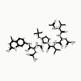 CC(=O)N[C@H](C(=O)N[C@@H](CC(=O)O)C(=O)N[C@H](C(=O)N1CC[C@H](CC(C)(C)C)[C@H]1C(=O)N[C@@H](CC(=O)O)C(=O)Nc1ccc2c(C)cc(=O)oc2c1)C(C)C)C(C)C